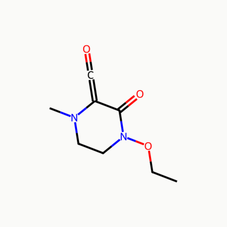 CCON1CCN(C)C(=C=O)C1=O